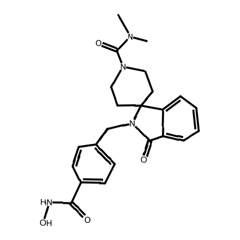 CN(C)C(=O)N1CCC2(CC1)c1ccccc1C(=O)N2Cc1ccc(C(=O)NO)cc1